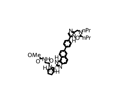 CCCC(=O)N(CCC)Cc1ncc(-c2ccc(-c3ccc4c(ccc5nc([C@@H]6[C@H]7CC[C@H](C7)N6C(=O)CNC(=O)OC)[nH]c54)c3)cc2)[nH]1